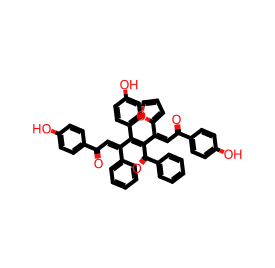 O=C(C=C(C(=C(C(=O)c1ccccc1)C(=CC(=O)c1ccc(O)cc1)c1ccco1)c1ccc(O)cc1)c1ccccc1)c1ccc(O)cc1